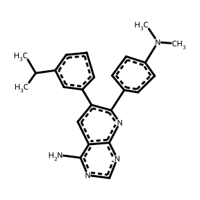 CC(C)c1cccc(-c2cc3c(N)ncnc3nc2-c2ccc(N(C)C)cc2)c1